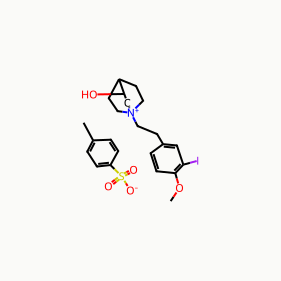 COc1ccc(CC[N+]23CCC(CC2)C(O)C3)cc1I.Cc1ccc(S(=O)(=O)[O-])cc1